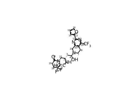 O=C(O)N[C@@H](CC(O)N1CCc2c(nc(-c3ccco3)nc2C(F)(F)F)C1)CN1CC(F)(F)CCC1=O